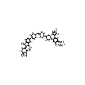 COc1cc(N2CCC(N3CCN(CC4CCN(c5ccc6c(c5)C(=O)N(C5CCC(=O)NC5=O)C6=O)CC4)CC3)CC2)c(-c2cnn(C)c2)cc1N